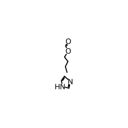 CCCCOC=O.c1c[nH]cn1